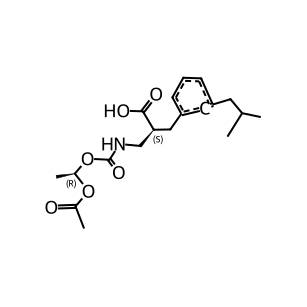 CC(=O)O[C@@H](C)OC(=O)NC[C@H](Cc1cccc(CC(C)C)c1)C(=O)O